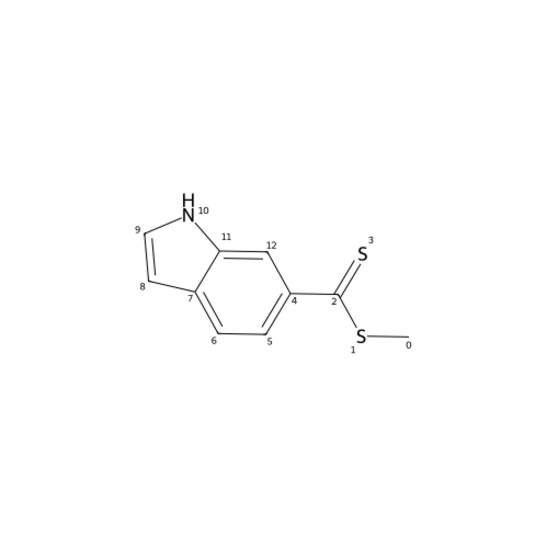 CSC(=S)c1ccc2cc[nH]c2c1